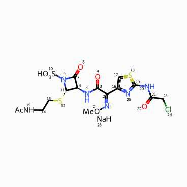 CON=C(C(=O)N[C@@H]1C(=O)N(S(=O)(=O)O)[C@H]1SCCNC(C)=O)c1csc(NC(=O)CCl)n1.[NaH]